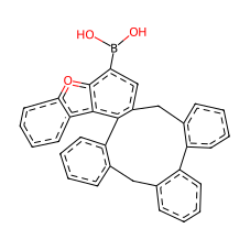 OB(O)c1cc2c(c3c1oc1ccccc13)-c1ccccc1Cc1ccccc1-c1ccccc1C2